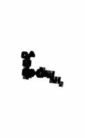 NCCNc1ccc(-c2cc3c(N4CCN(C(=O)C5CC5)CC4)ccnn3c2)cn1